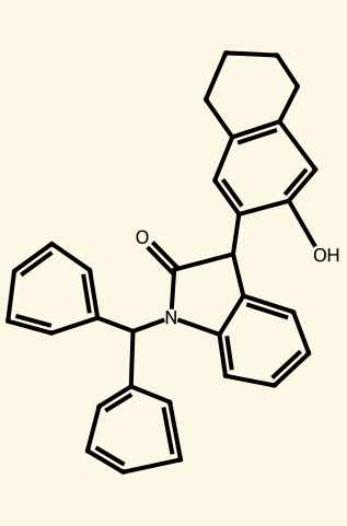 O=C1C(c2cc3c(cc2O)CCCC3)c2ccccc2N1C(c1ccccc1)c1ccccc1